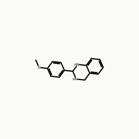 COc1ccc(C2NCc3ccccc3N2)cc1